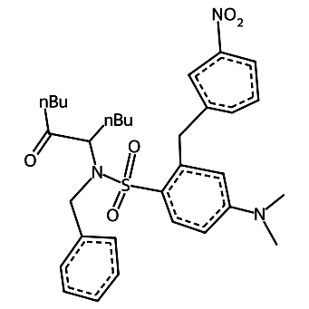 CCCCC(=O)C(CCCC)N(Cc1ccccc1)S(=O)(=O)c1ccc(N(C)C)cc1Cc1cccc([N+](=O)[O-])c1